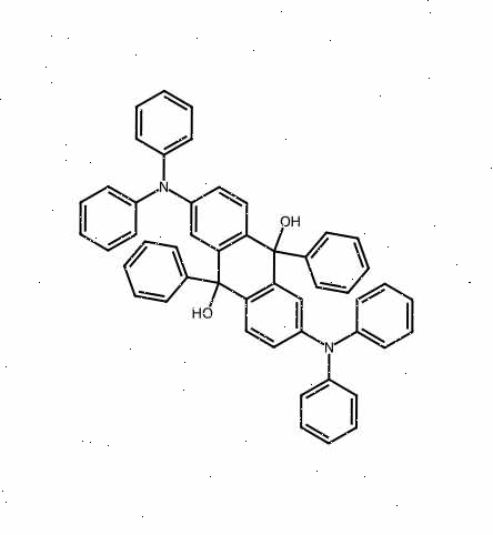 OC1(c2ccccc2)c2ccc(N(c3ccccc3)c3ccccc3)cc2C(O)(c2ccccc2)c2ccc(N(c3ccccc3)c3ccccc3)cc21